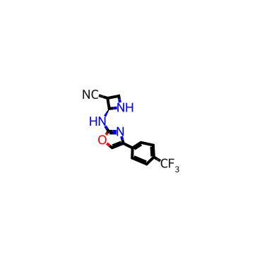 N#CC1CN[C@H]1Nc1nc(-c2ccc(C(F)(F)F)cc2)co1